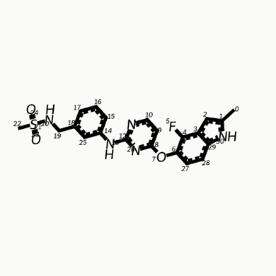 Cc1cc2c(F)c(Oc3ccnc(Nc4cccc(CNS(C)(=O)=O)c4)n3)ccc2[nH]1